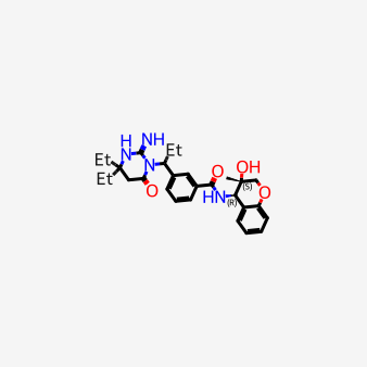 CCC(c1cccc(C(=O)N[C@@H]2c3ccccc3OC[C@@]2(C)O)c1)N1C(=N)NC(CC)(CC)CC1=O